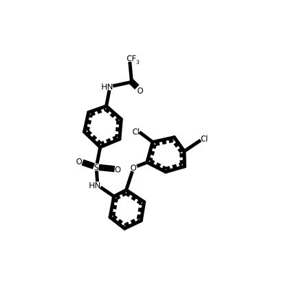 O=C(Nc1ccc(S(=O)(=O)Nc2ccccc2Oc2ccc(Cl)cc2Cl)cc1)C(F)(F)F